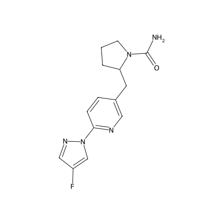 NC(=O)N1CCCC1Cc1ccc(-n2cc(F)cn2)nc1